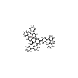 c1ccc(-n2c3ccccc3c3ccccc32)c(-c2ccc(N(c3ccc(-c4ccc(-c5cccc6oc7ccccc7c56)cc4)cc3)c3cc4ccccc4c4ccccc34)cc2)c1